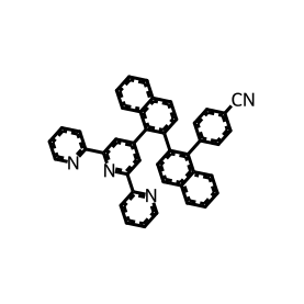 N#Cc1ccc(-c2c(-c3ccc4ccccc4c3-c3cc(-c4ccccn4)nc(-c4ccccn4)c3)ccc3ccccc23)cc1